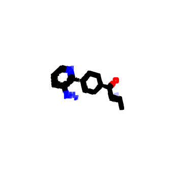 C/C=C/C(=O)[C@H]1CC[C@H](c2ncccc2N)CC1